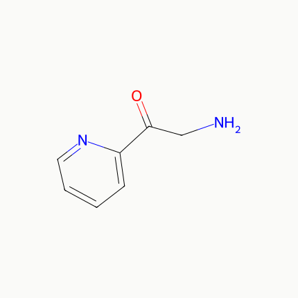 NCC(=O)c1ccccn1